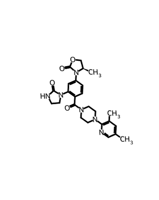 Cc1cnc(N2CCN(C(=O)c3ccc(N4C(=O)OC[C@H]4C)cc3N3CCNC3=O)CC2)c(C)c1